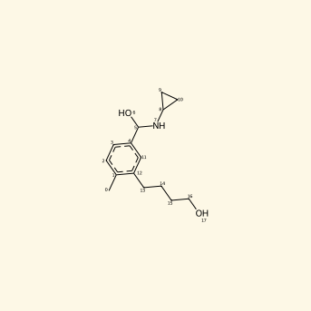 Cc1ccc(C(O)NC2CC2)cc1CCCCO